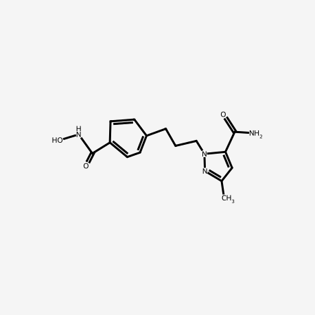 Cc1cc(C(N)=O)n(CCCc2ccc(C(=O)NO)cc2)n1